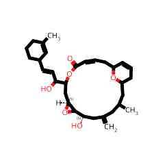 C=C1CC(C)CC2CC=CC(C/C=C\C(=O)OC(C(O)/C=C/C3C=C(C)CCC3)C[C@@H]3OC3[C@@H](O)C1)O2